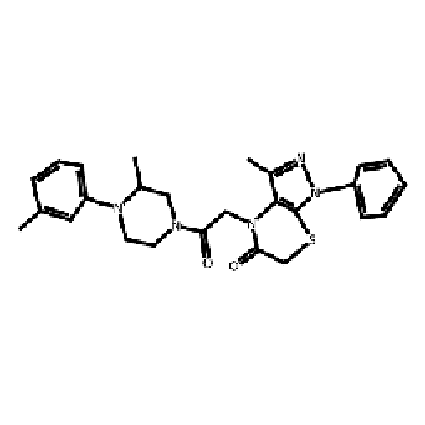 Cc1cccc(N2CCN(C(=O)CN3C(=O)CSc4c3c(C)nn4-c3ccccc3)CC2C)c1